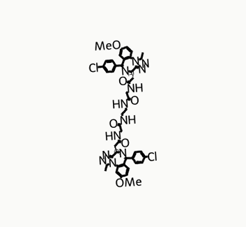 COc1ccc2c(c1)C(c1ccc(Cl)cc1)=N[C@@H](CC(=O)NCC(=O)NCCNC(=O)CNC(=O)C[C@H]1N=C(c3ccc(Cl)cc3)c3ccc(OC)cc3-n3c(C)nnc31)c1nnc(C)n1-2